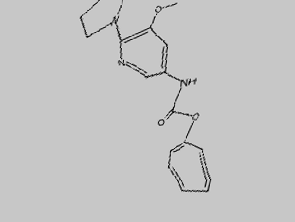 COc1cc(NC(=O)Oc2ccccc2)cnc1N1CCCC1